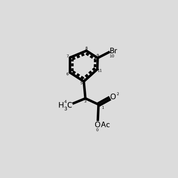 CC(=O)OC(=O)C(C)c1cccc(Br)c1